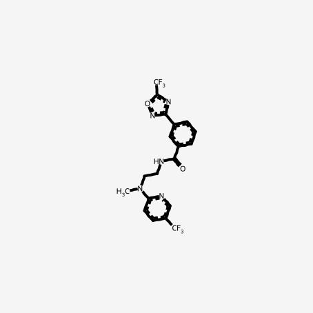 CN(CCNC(=O)c1cccc(-c2noc(C(F)(F)F)n2)c1)c1ccc(C(F)(F)F)cn1